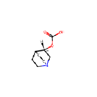 O=C(O)O[C@@H]1CN2CCC1CC2